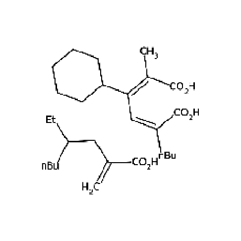 C=C(CC(CC)CCCC)C(=O)O.CCCCC(=CC(=C(C)C(=O)O)C1CCCCC1)C(=O)O